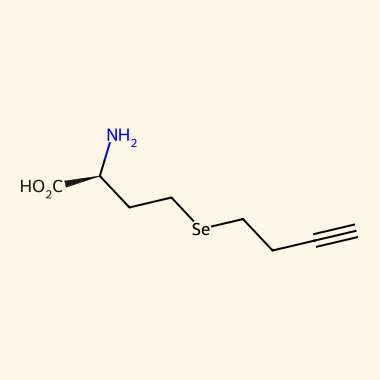 C#CCC[Se]CC[C@H](N)C(=O)O